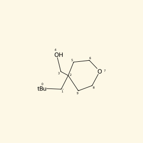 CC(C)(C)[CH]C1(CO)CCOCC1